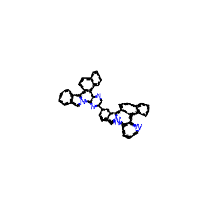 c1ccc2c(c1)ccc1c2c2ncccc2n2cc3ccc(-c4cnc5c6c7ccccc7ccc6c6c7ccccc7cn6c5n4)cc3c12